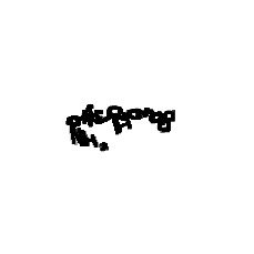 Nc1cccc(-c2csc(SCC(=O)NC3CCN(Cc4ccc(Cl)c(Cl)c4)CC3)n2)c1